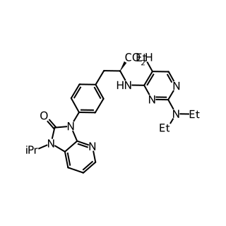 CCc1cnc(N(CC)CC)nc1N[C@@H](Cc1ccc(-n2c(=O)n(C(C)C)c3cccnc32)cc1)C(=O)O